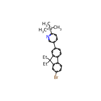 CCC1(CC)c2cc(Br)ccc2-c2ccc(-c3ccc([Si](C)(C)C)nc3)cc21